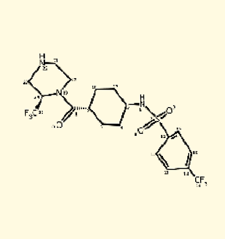 O=C([C@H]1CC[C@H](NS(=O)(=O)c2ccc(C(F)(F)F)cc2)CC1)N1CCNC[C@@H]1C(F)(F)F